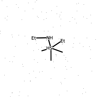 CCN[SH](C)(C)(C)CC